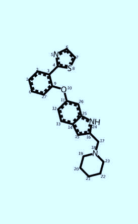 c1ccc(-c2nccs2)c(Oc2ccc3cc(CN4CCCCC4)[nH]c3c2)c1